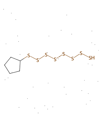 SSSSSSSSC1CCCC1